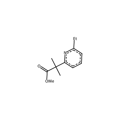 CCc1cccc(C(C)(C)C(=O)OC)n1